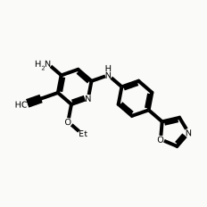 C#Cc1c(N)cc(Nc2ccc(-c3cnco3)cc2)nc1OCC